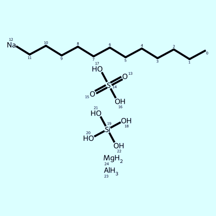 CCCCCCCCCCC[CH2][Na].O=S(=O)(O)O.O[Si](O)(O)O.[AlH3].[MgH2]